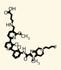 COc1nc(-c2ccnc(-c3cccc(NC(=O)c4nc5c(n4C)CCN(CCCF)C5)c3Cl)c2Cl)ccc1CNCCCC(=O)O